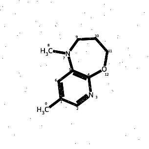 Cc1cnc2c(c1)N(C)CCCO2